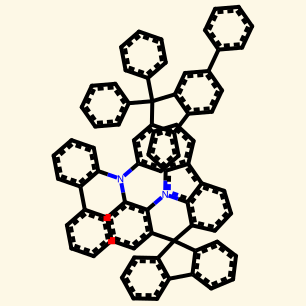 c1ccc(-c2ccc3c(c2)C(c2ccccc2)(c2ccccc2)c2cc(N(c4ccccc4-c4ccccc4)c4cccc5c4-n4c6ccccc6c6cccc(c64)C54c5ccccc5-c5ccccc54)ccc2-3)cc1